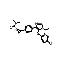 CN(C)C(=O)[C@H]1CC1c1ccc(-c2ncn(CI)c2Sc2ccc(Cl)cn2)cc1